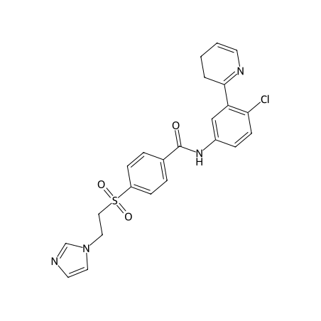 O=C(Nc1ccc(Cl)c(C2=NC=CCC2)c1)c1ccc(S(=O)(=O)CCn2ccnc2)cc1